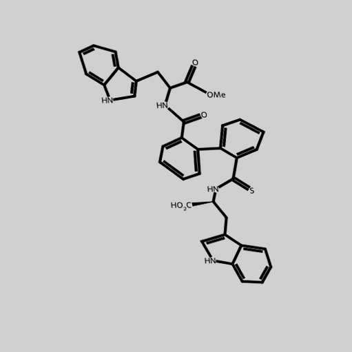 COC(=O)C(Cc1c[nH]c2ccccc12)NC(=O)c1ccccc1-c1ccccc1C(=S)N[C@@H](Cc1c[nH]c2ccccc12)C(=O)O